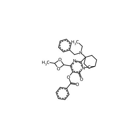 CCN(Cc1ccccc1)C12CCC(CC1)Cn1c2nc(C2OC(C)O2)c(OC(=O)c2ccccc2)c1=O